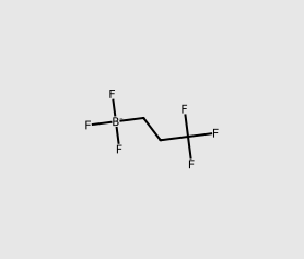 F[B-](F)(F)CCC(F)(F)F